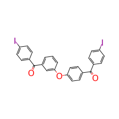 O=C(c1ccc(I)cc1)c1ccc(Oc2cccc(C(=O)c3ccc(I)cc3)c2)cc1